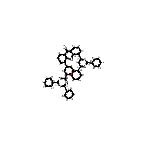 O=c1c2cccc(-c3cccc(-c4nc(-c5ccccc5)nc(-c5ccccc5)n4)c3)c2oc2c(-c3cc(-c4ccccc4)nc(-c4ccccc4)n3)cccc12